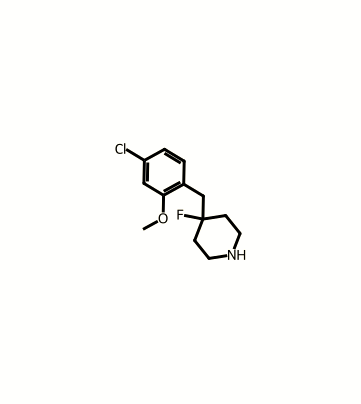 COc1cc(Cl)ccc1CC1(F)CCNCC1